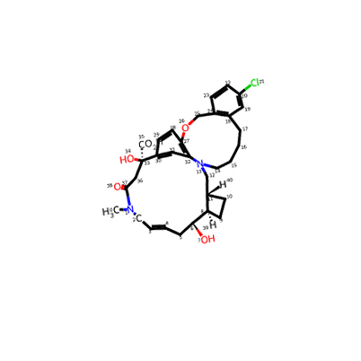 CN1C/C=C/C[C@H](O)[C@@H]2CC[C@H]2CN2CCCCc3cc(Cl)ccc3COc3ccc(cc32)[C@@](O)(C(=O)O)CC1=O